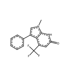 Cn1cc(-c2ccccc2)c2c(C(F)(F)F)cc(=O)[nH]c21